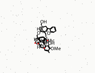 COc1c(C)cc2c(c1O)[C@H]1[C@@H]3[C@@H]4SC[C@]5(N[C@@H](CO)Cc6c5oc5ccccc65)C(=O)OC[C@@H](c5c6c(c(C)c(OC(C)=O)c54)OCO6)N3[C@@H](C)[C@H](C2)N1C